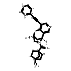 O=C(N1C[C@@H]2C[C@H]1c1cncc(C#Cc3ccncn3)c1O2)C12CCC(C(F)(F)F)(CC1)C2